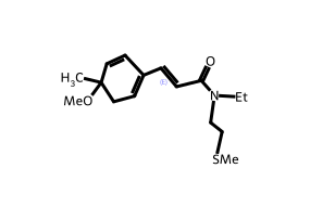 CCN(CCSC)C(=O)/C=C/C1=CCC(C)(OC)C=C1